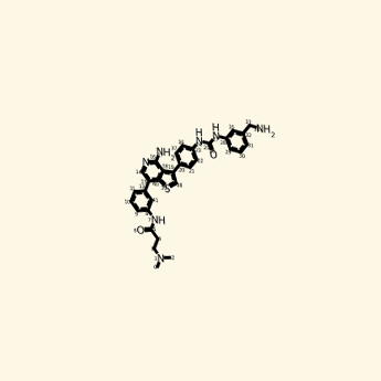 CN(C)CCC(=O)Nc1cccc(-c2cnc(N)c3c(-c4ccc(NC(=O)Nc5cccc(CN)c5)cc4)csc23)c1